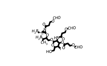 BC[C@H]1C(OC(COC2OC(CO)C(I)C(OC(=O)CCOC=O)C2NC(=O)CCOC=O)[C@@H](B)C)N1C(=O)CCOC=O